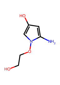 Nc1cc(O)cn1OCCO